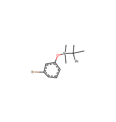 CC(C)C(C)(C)[Si](C)(C)Oc1cccc(Br)c1